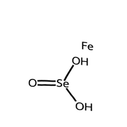 O=[Se](O)O.[Fe]